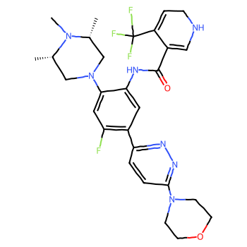 C[C@@H]1CN(c2cc(F)c(-c3ccc(N4CCOCC4)nn3)cc2NC(=O)C2=CNCC=C2C(F)(F)F)C[C@H](C)N1C